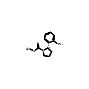 CNc1ccccc1[C@@H]1CCCN1C(=O)OC(C)(C)C